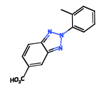 Cc1ccccc1-n1nc2ccc(C(=O)O)cc2n1